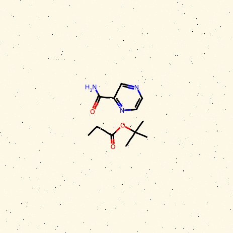 CCC(=O)OC(C)(C)C.NC(=O)c1cnccn1